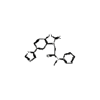 CN(C(=O)Cn1c(=O)oc2ccc(-c3cncs3)cc21)c1ccccc1